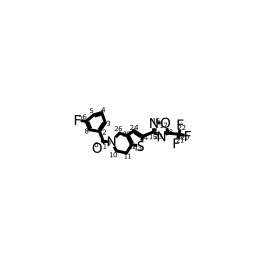 O=C(c1cccc(F)c1)N1CCc2sc(-c3noc(C(F)(F)F)n3)cc2C1